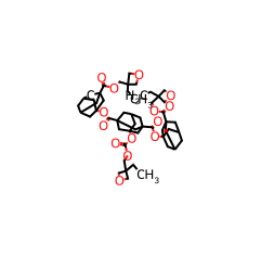 CCC1(COC(=O)OC23CC4CC(C(=O)OC56CC7CC(C5)CC(C(=O)OCC5(CC)COC5)(C7)C6)(C2)CC(C(=O)OC25CC6CC(C2)CC(C(=O)OCC2(CC)COC2)(C6)C5)(C4)C3)COC1